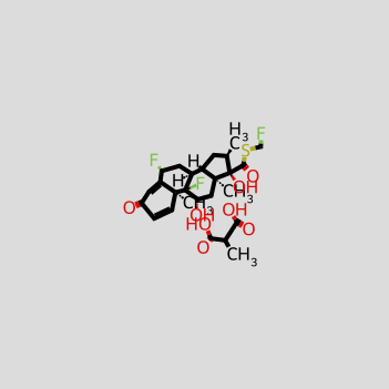 CC(C(=O)O)C(=O)O.C[C@@H]1C[C@H]2[C@@H]3C[C@H](F)C4=CC(=O)C=C[C@]4(C)[C@@]3(F)[C@@H](O)C[C@]2(C)[C@@]1(O)C(=O)SCF